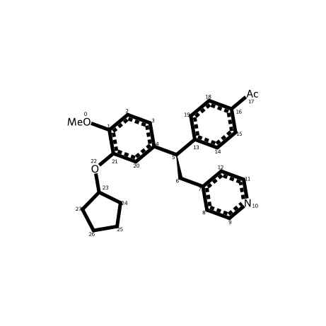 COc1ccc([C@H](Cc2ccncc2)c2ccc(C(C)=O)cc2)cc1OC1CCCC1